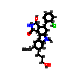 COc1cc2c3c4c(c(-c5ccccc5Cl)cc3n(C)c2cc1CCCO)C(=O)NC4=O